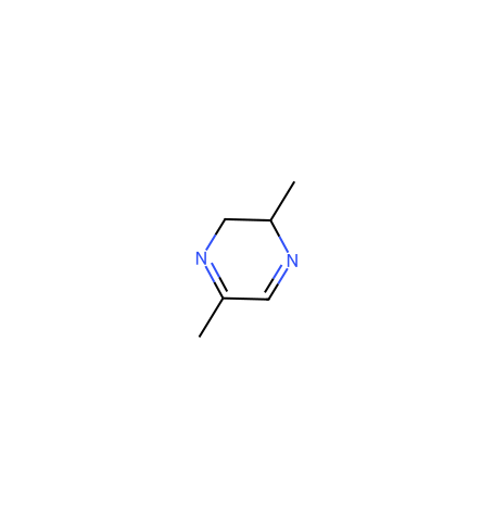 CC1=NCC(C)N=C1